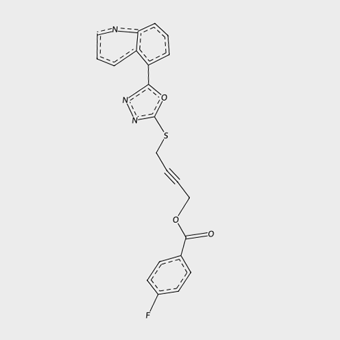 O=C(OCC#CCSc1nnc(-c2cccc3ncccc23)o1)c1ccc(F)cc1